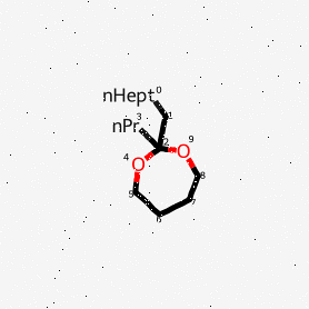 CCCCCCCCC1(CCC)OCCCCO1